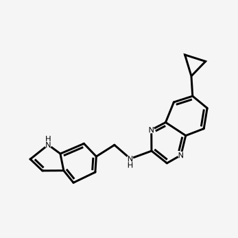 c1cc2ccc(CNc3cnc4ccc(C5CC5)cc4n3)cc2[nH]1